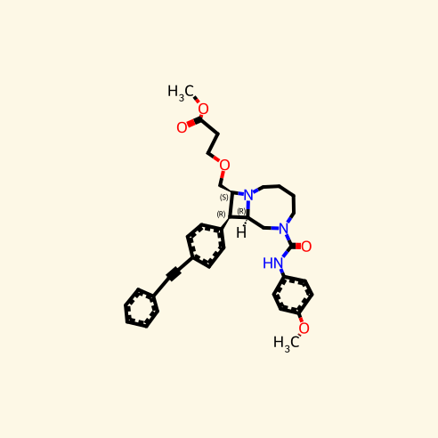 COC(=O)CCOC[C@@H]1[C@H](c2ccc(C#Cc3ccccc3)cc2)[C@@H]2CN(C(=O)Nc3ccc(OC)cc3)CCCCN12